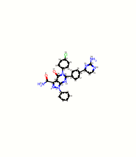 NC(=O)c1nn(-c2ccccc2)c2nc(-c3ccc(-c4ccnc(N)n4)cc3)n(-c3ccc(Cl)cc3)c(=O)c12